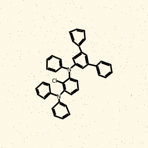 Clc1c(N(c2ccccc2)c2ccccc2)cccc1N(c1ccccc1)c1cc(-c2ccccc2)cc(-c2ccccc2)c1